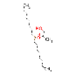 CC(O)CO.CCCCCCCCSCCCCCCCC